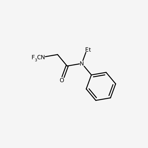 CCN(C(=O)CNC(F)(F)F)c1ccccc1